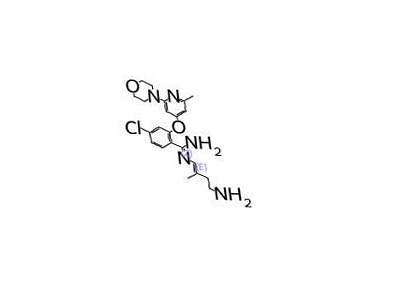 C/C(=C\N=C(/N)c1ccc(Cl)cc1Oc1cc(C)nc(N2CCOCC2)c1)CCN